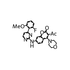 COc1cccc(F)c1-c1ccnc(Nc2ccc3c(N4CCOCC4)c(C(C)=O)c(=O)oc3c2)n1